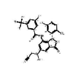 N#CC[C@H](O)c1cc(NC(=O)c2cc(F)cc(C(F)(F)F)c2)c2c(c1)C(=O)N[C@H]2c1cc(F)ccc1Cl